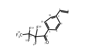 C=Cc1ccc(C(=O)C(F)(F)C(F)(F)C(F)(F)F)cc1